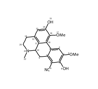 COc1cc2c(c(C#N)c1O)CC1c3c(cc(O)c(OC)c3-2)CCN1C